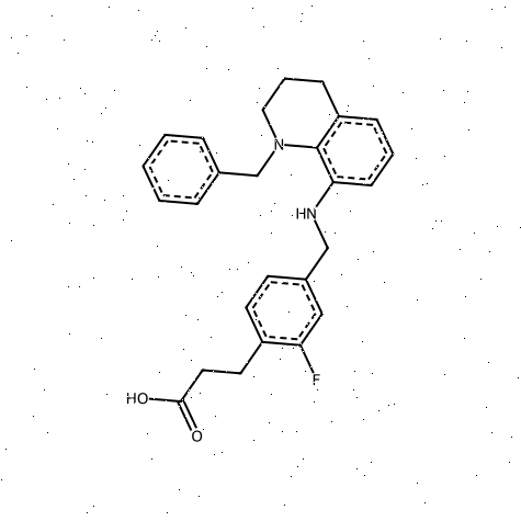 O=C(O)CCc1ccc(CNc2cccc3c2N(Cc2ccccc2)CCC3)cc1F